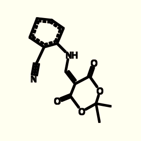 CC1(C)OC(=O)C(=CNc2ccccc2C#N)C(=O)O1